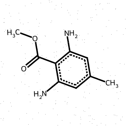 COC(=O)c1c(N)cc(C)cc1N